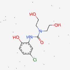 O=C(Nc1cc(Cl)ccc1O)N(CCO)CCO